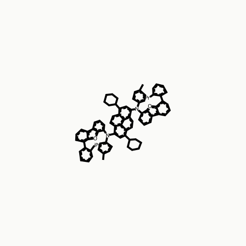 Cc1ccc(N(c2cc(C3CCCCC3)c3ccc4c(N(c5ccc(C)cc5)c5cccc6c5oc5c(-c7ccccc7C(C)C)cccc56)cc(C5CCCCC5)c5ccc2c3c54)c2cccc3c2oc2c(-c4ccccc4C(C)C)cccc23)cc1